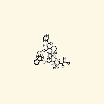 CCC[C@H](NC(=O)[C@@H]1C[C@@H](Oc2nc(C(F)(F)F)nc3ccccc23)CN1C(=O)[C@@H](NC(=O)[C@@H](NC(=O)c1cnccn1)C1CCCCC1)C(C)(C)C)C(=O)C(=O)NC1CC1